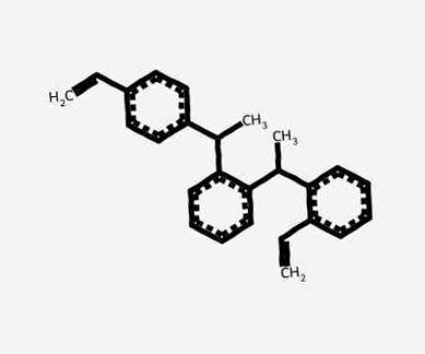 C=Cc1ccc(C(C)c2ccccc2C(C)c2ccccc2C=C)cc1